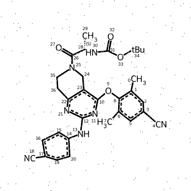 Cc1cc(C#N)cc(C)c1Oc1nc(Nc2ccc(C#N)cc2)nc2c1CN(C(=O)[C@H](C)NC(=O)OC(C)(C)C)CC2